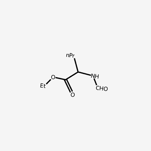 CCCC(NC=O)C(=O)OCC